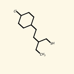 CCC(CS)CCC1CCC(Cl)CC1